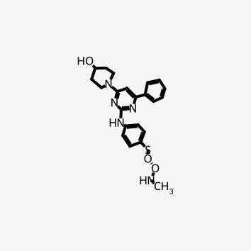 CNOOSc1ccc(Nc2nc(-c3ccccc3)cc(N3CCC(O)CC3)n2)cc1